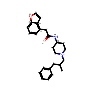 CC(Cc1ccccc1)CN1CCC(NC(=O)Cc2cccc3occc23)CC1